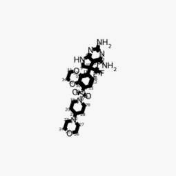 Nc1nc(N)c2c(n1)NCC2(c1ccc(S(=O)(=O)N2CCC(N3CCOCC3)CC2)c2c1OCCO2)C(F)(F)F